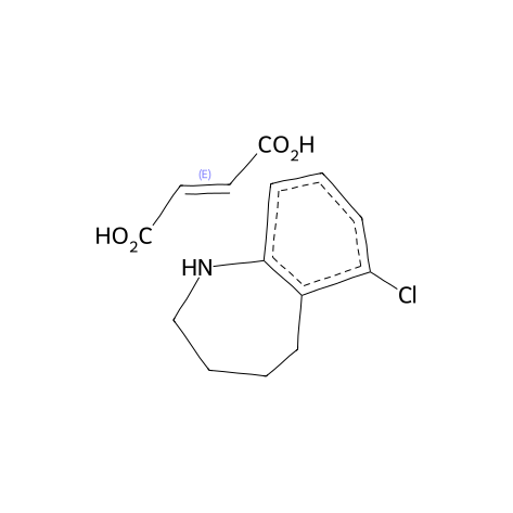 Clc1cccc2c1CCCCN2.O=C(O)/C=C/C(=O)O